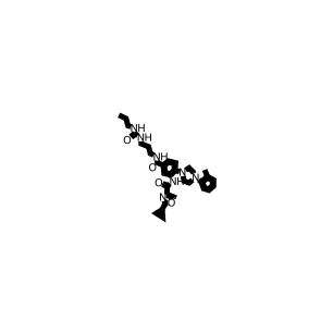 CCCNC(=O)NCCCNC(=O)c1ccc(N2CCN(c3ccccc3C)CC2)c(NC(=O)c2coc(C3CC3)n2)c1